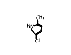 CC1=CC=C(Cl)CN1